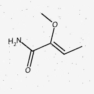 CC=C(OC)C(N)=O